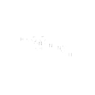 CCOC(=O)N1CCC(N2CCC3(CC2)CN(C(C)=O)c2c(-c4ccc(C)cc4)cccc23)CC1